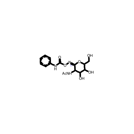 CC(=O)NC1/C(=N\OC(=O)Nc2ccccc2)OC(CO)C(O)C1O